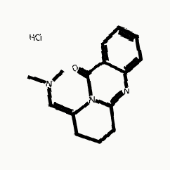 CN(C)/C=C1/CCCc2nc3ccccc3c(=O)n21.Cl